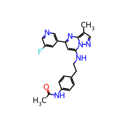 CC(=O)Nc1ccc(CCNc2cc(-c3cncc(F)c3)nc3c(C)cnn23)cc1